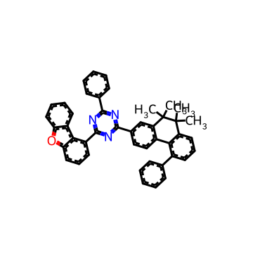 CC1(C)c2cc(-c3nc(-c4ccccc4)nc(-c4cccc5oc6ccccc6c45)n3)ccc2-c2c(-c3ccccc3)cccc2C1(C)C